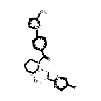 Cc1cnn(-c2ccc(C(=O)N3CCC[C@@H](C)[C@H]3CNc3ncc(F)cn3)cc2)n1